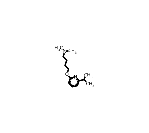 CC(C)c1cccc(OCCCCN(C)C)n1